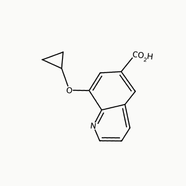 O=C(O)c1cc(OC2CC2)c2ncccc2c1